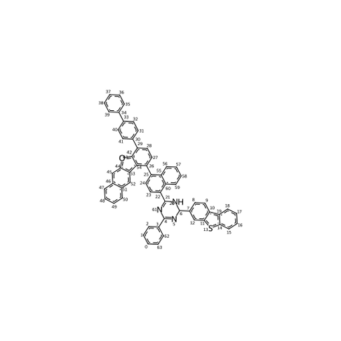 c1ccc(C2=NC(c3ccc4c(c3)sc3ccccc34)NC(c3ccc(-c4ccc(-c5ccc(-c6ccccc6)cc5)c5oc6cc7ccccc7cc6c45)c4ccccc34)=N2)cc1